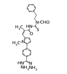 C/C(=C/c1ccc(-c2ccc(/C(=N/N)NN)cc2)n1C)C(=O)NC(=S)N(C=O)CCc1ccccc1